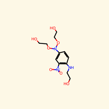 O=[N+]([O-])c1cc(N(OCCO)OCCO)ccc1NCCO